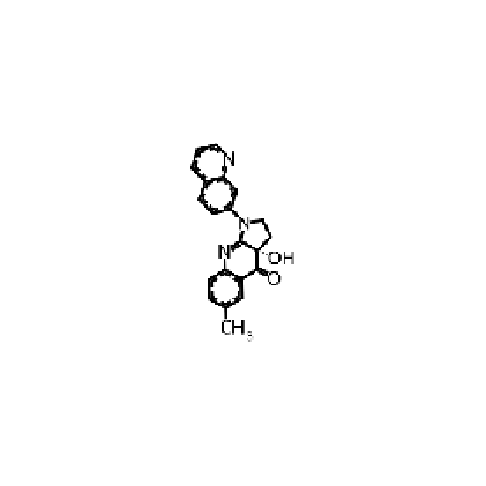 Cc1ccc2c(c1)C(=O)[C@]1(O)CCN(c3ccc4cccnc4c3)C1=N2